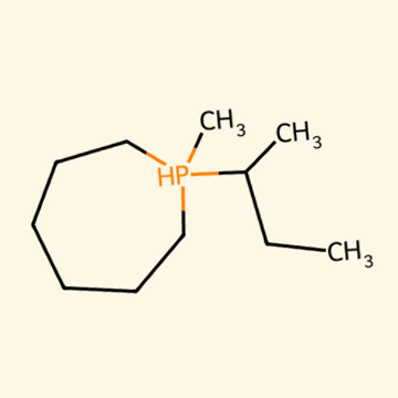 CCC(C)[PH]1(C)CCCCCC1